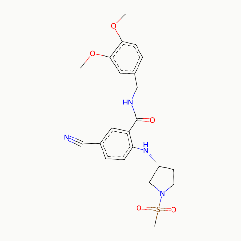 COc1ccc(CNC(=O)c2cc(C#N)ccc2N[C@@H]2CCN(S(C)(=O)=O)C2)cc1OC